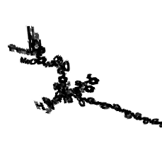 C=Cc1ccccc1CN(C(=O)CCC(=O)N[C@@H](CNC(=O)CCOCCOCCOCCOCCOCCOCCOCCOC)C(=O)N[C@H](C(=O)N[C@@H](CCCNC(N)=O)C(=O)Nc1ccc(COC(=O)N2CCOC3(CN(Cc4ccc(Cn5ccc6nc(N)nc(NCCCCC)c65)c(OC)c4)C3)C2)cc1)C(C)C)c1ccccc1CC